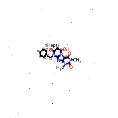 CCCCCCCc1c(O)n2c3c(=O)n(C)c(=O)n(C)c3nc2n(Cc2ccccc2)c1=O